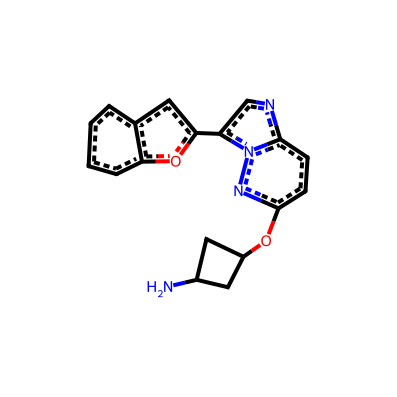 NC1CC(Oc2ccc3ncc(-c4cc5ccccc5o4)n3n2)C1